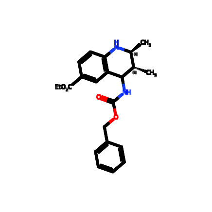 CCOC(=O)c1ccc2c(c1)C(NC(=O)OCc1ccccc1)[C@@H](C)[C@H](C)N2